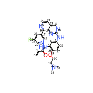 C=CC(=O)Nc1cc(Nc2ncc3ccnc(-c4cncc(F)c4)c3n2)ccc1OCCN(C)C